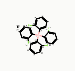 Fc1ccccc1[B-](c1ccccc1F)(c1ccccc1F)c1ccccc1F.[Tl+]